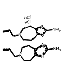 C=CCN1CCc2nc(N)sc2CC1.C=CCN1CCc2nc(N)sc2CC1.Cl.Cl